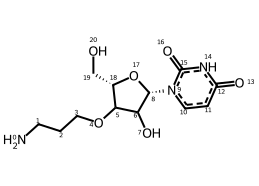 NCCCOC1C(O)[C@@H](n2ccc(=O)[nH]c2=O)O[C@H]1CO